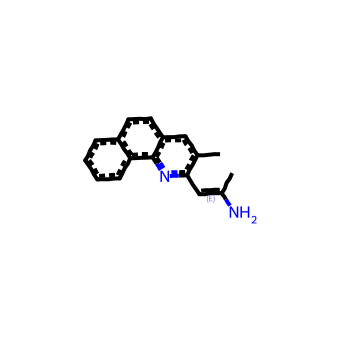 C/C(N)=C\c1nc2c(ccc3ccccc32)cc1C